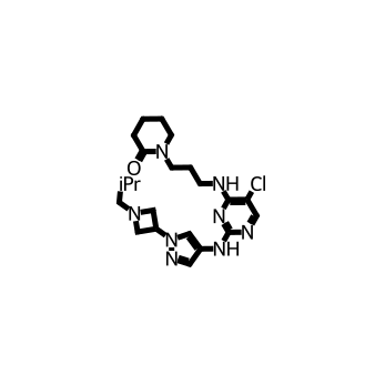 CC(C)CN1CC(n2cc(Nc3ncc(Cl)c(NCCCN4CCCCC4=O)n3)cn2)C1